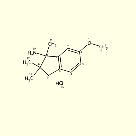 COc1ccc2c(c1)C(C)(N)C(C)(C)C2.Cl